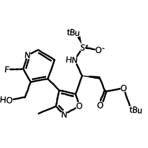 Cc1noc([C@H](CC(=O)OC(C)(C)C)N[S@+]([O-])C(C)(C)C)c1-c1ccnc(F)c1CO